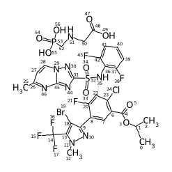 CC(C)OC(=O)c1cc(-c2nn(C)c(C(F)(F)F)c2Br)c(F)cc1Cl.Cc1ccn2nc(S(=O)(=O)Nc3c(F)cccc3F)nc2n1.O=C(O)CNCP(=O)(O)O